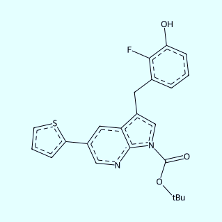 CC(C)(C)OC(=O)n1cc(Cc2cccc(O)c2F)c2cc(-c3cccs3)cnc21